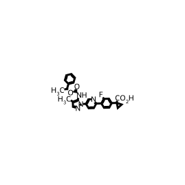 Cc1cnn(-c2ccc(-c3ccc(C4(C(=O)O)CC4)cc3F)nc2)c1NC(=O)OC(C)c1ccccc1